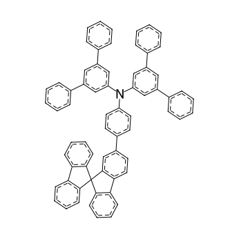 c1ccc(-c2cc(-c3ccccc3)cc(N(c3ccc(-c4ccc5c(c4)C4(c6ccccc6-c6ccccc64)c4ccccc4-5)cc3)c3cc(-c4ccccc4)cc(-c4ccccc4)c3)c2)cc1